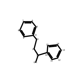 [CH2]C(C[CH]c1ccccc1)c1ccccc1